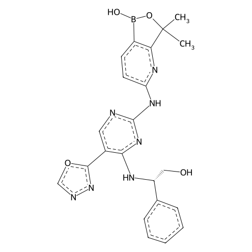 CC1(C)OB(O)c2ccc(Nc3ncc(-c4nnco4)c(N[C@H](CO)c4ccccc4)n3)nc21